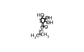 CC(C)CCOC(=O)c1ccc(O)c(O)c1O